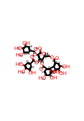 O=C1O[C@@H]2COC(=O)c3cc(O)c(O)c(O)c3-c3c(cc(O)c(O)c3O)C(=O)O[C@H]2C(OC(=O)c2cc(O)c(O)c(O)c2)=C1OC(=O)c1cc(O)c(O)c(O)c1